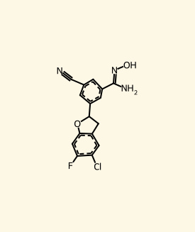 N#Cc1cc(/C(N)=N/O)cc(C2Cc3cc(Cl)c(F)cc3O2)c1